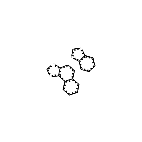 c1ccc2[se]cnc2c1.c1ccc2c(c1)ccc1[se]cnc12